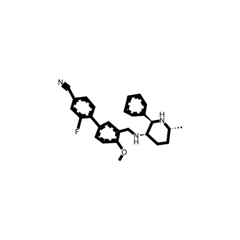 COc1ccc(-c2ccc(C#N)cc2F)cc1CN[C@H]1CC[C@@H](C)N[C@@H]1c1ccccc1